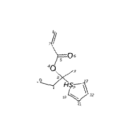 [CH2]CC(C)(OC(=O)C=C)[SH]1C=CC=C1